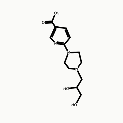 O=C(O)c1ccc(N2CCN(CC(O)CO)CC2)nc1